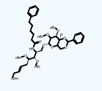 CCCCCCCCCCCC=CC[C@@H](OCCCC)[C@@H](OCCCC)[C@H](CO[C@H]1OC2COC(c3ccccc3)O[C@@H]2[C@H](OCCCC)C1OCCCC)NC(=O)CCCCCc1ccccc1